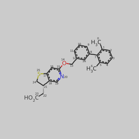 Cc1cccc(C)c1-c1cccc(COc2cc3c(cn2)[C@H](CC(=O)O)CS3)c1